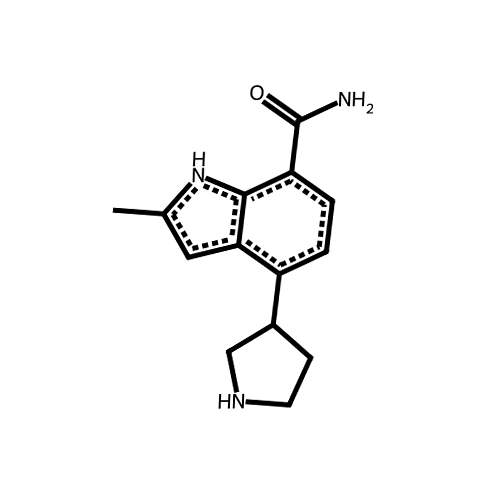 Cc1cc2c(C3CCNC3)ccc(C(N)=O)c2[nH]1